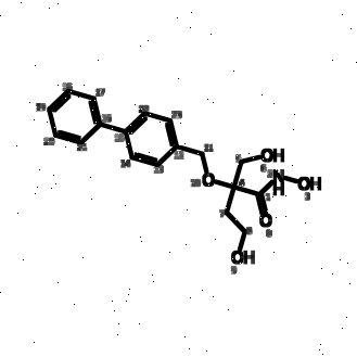 O=C(NO)C(CO)(CCO)OCc1ccc(-c2ccccc2)cc1